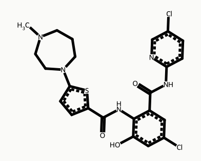 CN1CCCN(c2ccc(C(=O)Nc3c(O)cc(Cl)cc3C(=O)Nc3ccc(Cl)cn3)s2)CC1